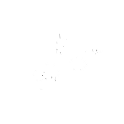 COc1cccc2c1CC(C)(C)N=C2c1cnn2c(F)ccc2c1